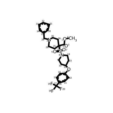 COC(=O)C1(S(=O)(=O)N2CCC(Oc3ccc(C(F)(F)F)cc3)CC2)CCN(Cc2ccccc2)CC1